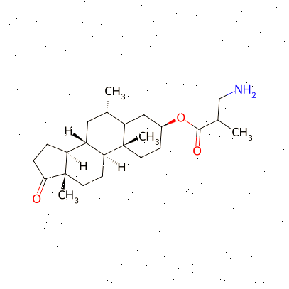 CC(CN)C(=O)O[C@H]1CC[C@@]2(C)C(C1)[C@@H](C)C[C@@H]1[C@@H]2CC[C@]2(C)C(=O)CC[C@@H]12